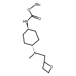 CN(CC1CCO1)[C@H]1CC[C@H](NC(=O)OC(C)(C)C)CC1